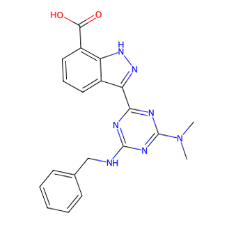 CN(C)c1nc(NCc2ccccc2)nc(-c2n[nH]c3c(C(=O)O)cccc23)n1